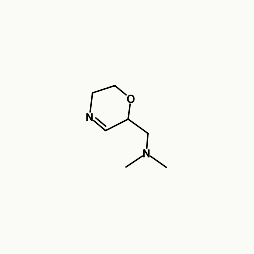 CN(C)CC1C=NCCO1